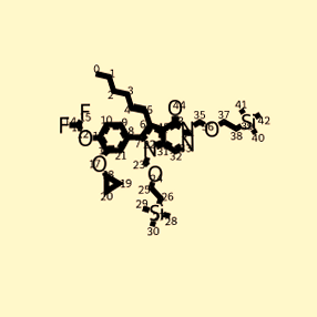 CCCC/C=C/c1c(-c2ccc(OC(F)F)c(OC3CC3)c2)n(COCC[Si](C)(C)C)c2cnn(COCC[Si](C)(C)C)c(=O)c12